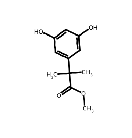 COC(=O)C(C)(C)c1cc(O)cc(O)c1